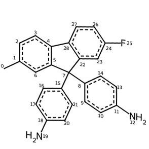 Cc1ccc2c(c1)C(c1ccc(N)cc1)(c1ccc(N)cc1)c1cc(F)ccc1-2